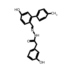 Cc1ccc(-c2cc(O)ccc2/C=N/NC(=O)Cc2cccc(O)c2)cc1